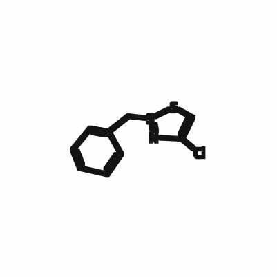 ClC1=CSS(Cc2ccccc2)=N1